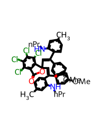 CCCNc1cc(C)ccc1C(=CC1(C=C(c2ccc(OC)cc2)c2ccc(C)cc2NCCC)OC(=O)c2c(Cl)c(Cl)c(Cl)c(Cl)c21)c1ccc(OC)cc1